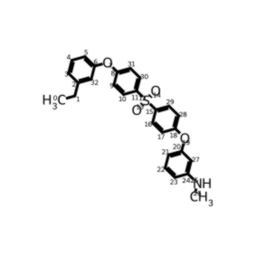 CCc1cccc(Oc2ccc(S(=O)(=O)c3ccc(Oc4cccc(NC)c4)cc3)cc2)c1